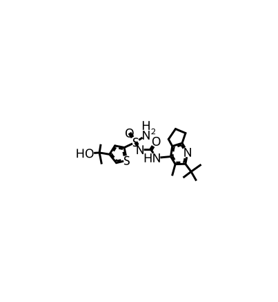 Cc1c(C(C)(C)C)nc2c(c1NC(=O)N=S(N)(=O)c1cc(C(C)(C)O)cs1)CCC2